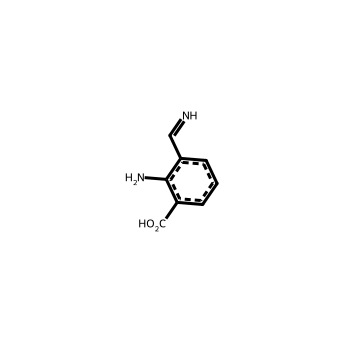 N=Cc1cccc(C(=O)O)c1N